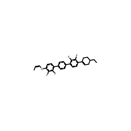 C/C=C\Oc1ccc(-c2ccc(-c3ccc(C4=CCC(CC)CC4)c(F)c3F)cc2)c(F)c1F